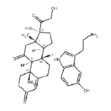 C[C@]12CCC(=O)C=C1CC[C@@H]1[C@@H]2C(=O)C[C@@]2(C)[C@H]1CC[C@]2(O)C(=O)CO.NCCc1c[nH]c2ccc(O)cc12